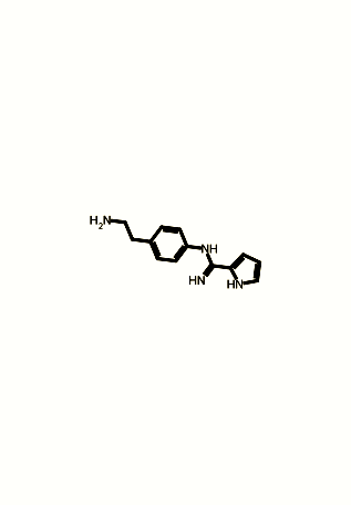 N=C(Nc1ccc(CCN)cc1)c1ccc[nH]1